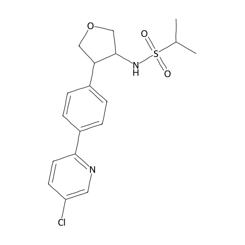 CC(C)S(=O)(=O)NC1COCC1c1ccc(-c2ccc(Cl)cn2)cc1